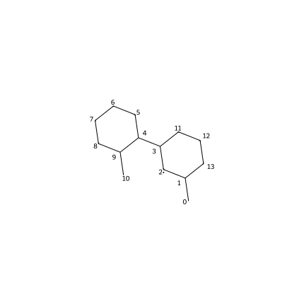 CC1[CH]C(C2CCCCC2C)CCC1